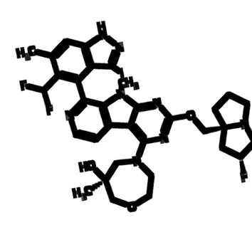 Cc1cc2[nH]nc(I)c2c(-c2nccc3c4c(N5CCOC[C@@](C)(O)C5)nc(OC[C@@]56CCCN5C[C@H](F)C6)nc4n(C)c23)c1C(F)F